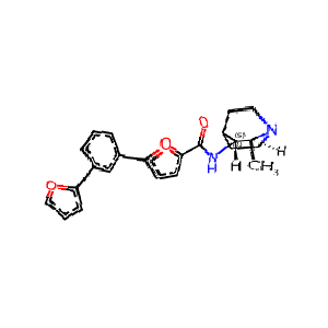 C[C@H]1[C@H](NC(=O)c2ccc(-c3cccc(-c4ccco4)c3)o2)C2CCN1CC2